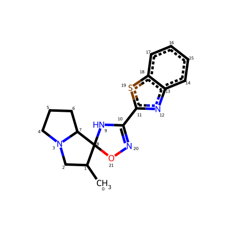 CC1CN2CCCC2C12NC(c1nc3ccccc3s1)=NO2